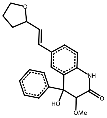 COC1C(=O)Nc2ccc(C=CC3CCCO3)cc2C1(O)c1ccccc1